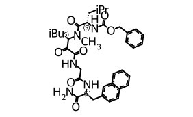 CC[C@H](C)C(C(=O)C(=O)NCC(=O)N[C@@H](Cc1ccc2ccccc2c1)C(N)=O)N(C)C(=O)[C@H](CC(C)C)NC(=O)OCc1ccccc1